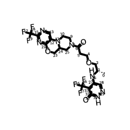 C[C@@H](COCCC(=O)N1CCN2c3cnc(C(F)(F)F)nc3OCC2C1)Nc1cn[nH]c(=O)c1C(F)(F)F